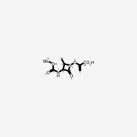 C=C(ON1C(=O)C(NC(=O)OC(C)(C)C)C1C)C(=O)O